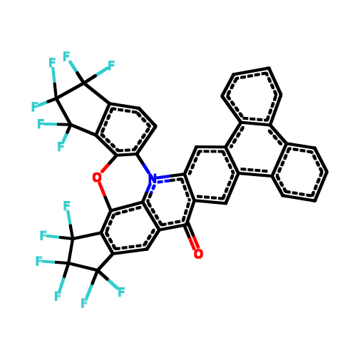 O=c1c2cc3c4ccccc4c4ccccc4c3cc2n2c3c(c4c(cc13)C(F)(F)C(F)(F)C4(F)F)Oc1c-2ccc2c1C(F)(F)C(F)(F)C2(F)F